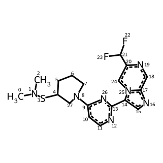 CN(C)SC1CCCN(c2ccnc(-c3cnc4cnc(C(F)F)cn34)n2)C1